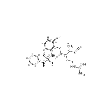 N=C(N)NCCC(C(=O)Cc1c(NS(=O)(=O)Nc2ccccc2)cc[nH]c1=O)[C@H](N)C=O